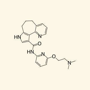 CN(C)CCOc1cccc(NC(=O)c2c[nH]c3c2-c2ncccc2CCC3)n1